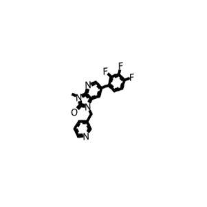 Cn1c(=O)n(Cc2cccnc2)c2cc(-c3ccc(F)c(F)c3F)cnc21